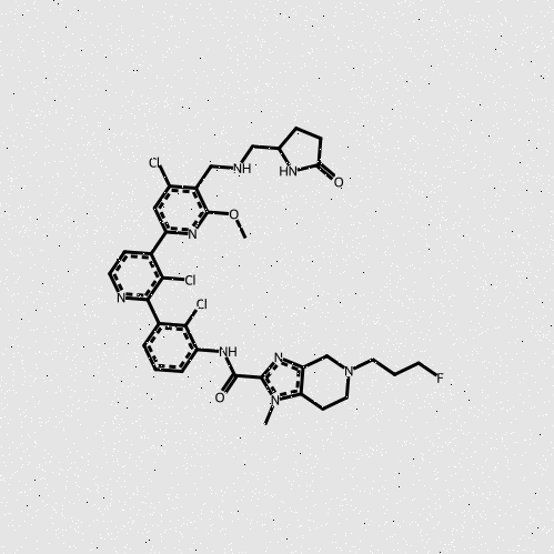 COc1nc(-c2ccnc(-c3cccc(NC(=O)c4nc5c(n4C)CCN(CCCF)C5)c3Cl)c2Cl)cc(Cl)c1CNCC1CCC(=O)N1